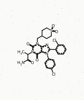 CC(C(N)=O)n1c(=O)c2c(nc(-c3ccccc3Cl)n2-c2ccc(Cl)cc2)n(CC2CCS(=O)(=O)CC2)c1=O